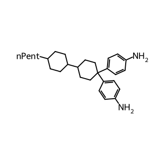 CCCCCC1CCC(C2CCC(c3ccc(N)cc3)(c3ccc(N)cc3)CC2)CC1